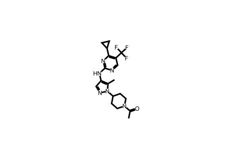 CC(=O)N1CCC(n2ncc(Nc3ncc(C(F)(F)F)c(C4CC4)n3)c2C)CC1